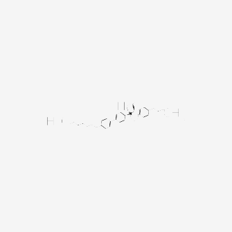 CCCCCCCCc1ccc(-c2ccc(C(=O)Oc3ccc(CCCC)cc3C)cc2)cc1